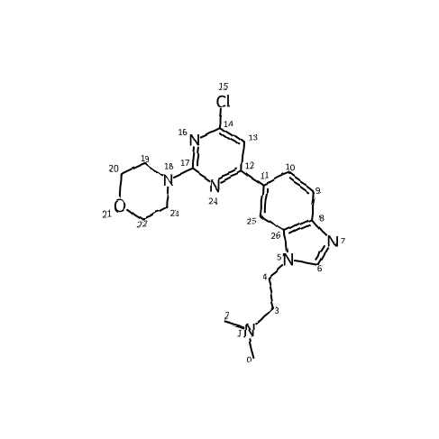 CN(C)CCn1cnc2ccc(-c3cc(Cl)nc(N4CCOCC4)n3)cc21